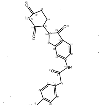 COc1ccc(CC(=O)Nc2ccc3c(c2)CN(C2CCC(=O)NC2=O)C3=O)cc1